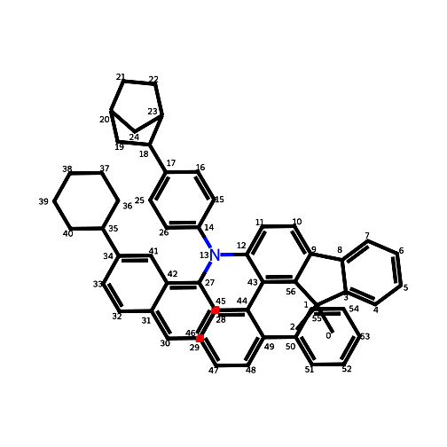 CC1(C)c2ccccc2-c2ccc(N(c3ccc(C4CC5CCC4C5)cc3)c3cccc4ccc(C5CCCCC5)cc34)c(-c3ccccc3-c3ccccc3)c21